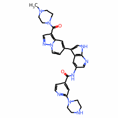 CN1CCN(C(=O)c2cnn3ccc(-c4c[nH]c5ncc(NC(=O)c6ccnc(N7CCNCC7)c6)cc45)cc23)CC1